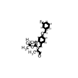 C[C@@H](C=O)N(Cc1ccc(OCc2cccc(F)c2)cc1)C(=O)OC(C)(C)C